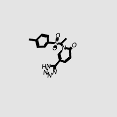 Cc1ccc(S(=O)(=O)C(C)n2cc(-c3nnn[nH]3)ccc2=O)cc1